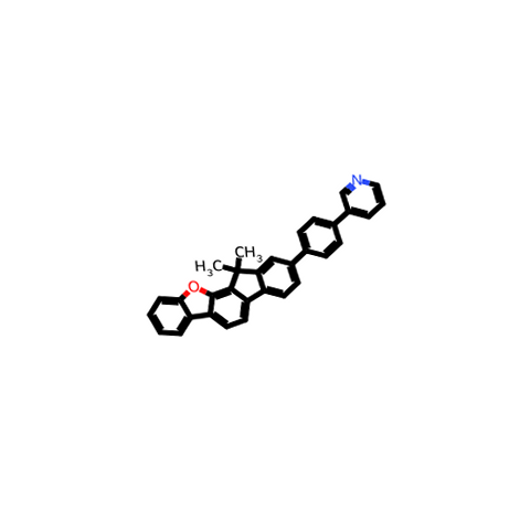 CC1(C)c2cc(-c3ccc(-c4cccnc4)cc3)ccc2-c2ccc3c(oc4ccccc43)c21